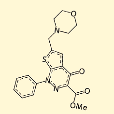 COC(=O)c1nn(-c2ccccc2)c2sc(CN3CCOCC3)cc2c1=O